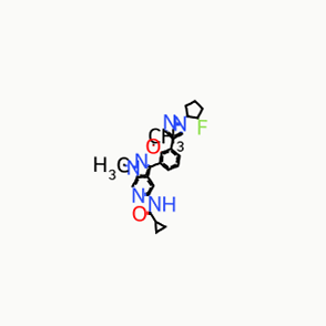 COc1c(-c2cnn([C@H]3CCC[C@@H]3F)c2)cccc1-c1nn(C)c2cnc(NC(=O)C3CC3)cc12